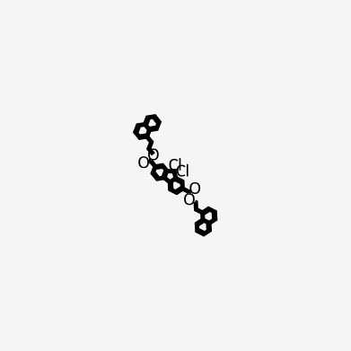 O=C(OCCc1cccc2ccccc12)c1ccc2c(c1)C(Cl)(Cl)c1cc(C(=O)OCCc3cccc4ccccc34)ccc1-2